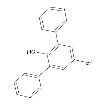 Oc1c(-c2ccccc2)cc(Br)cc1-c1ccccc1